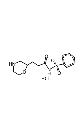 Cl.O=C(CCC1CNCCO1)NS(=O)(=O)c1ccccc1